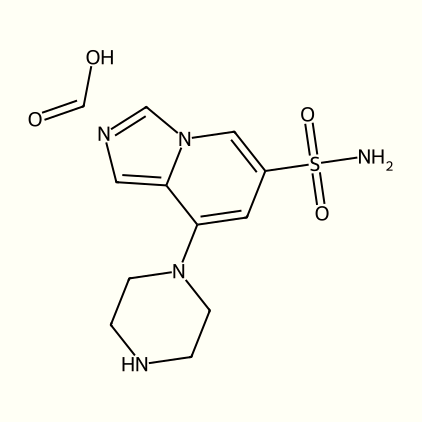 NS(=O)(=O)c1cc(N2CCNCC2)c2cncn2c1.O=CO